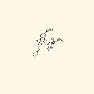 C=C[C@H](CC)[C@H](CNC(=O)CN)Oc1nc2cc(OC)ccc2nc1C(F)(F)CCCCC1CCCC1